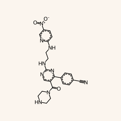 N#Cc1ccc(-c2nc(NCCNc3ccc([N+](=O)[O-])cn3)ncc2C(=O)N2CCNCC2)cc1